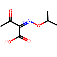 CC(=O)/C(=N/OC(C)C)C(=O)O